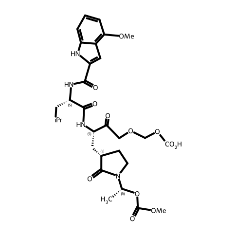 COC(=O)O[C@H](C)N1CC[C@@H](C[C@H](NC(=O)[C@H](CC(C)C)NC(=O)c2cc3c(OC)cccc3[nH]2)C(=O)COCOC(=O)O)C1=O